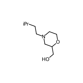 CC(C)CCN1CCOC(CO)C1